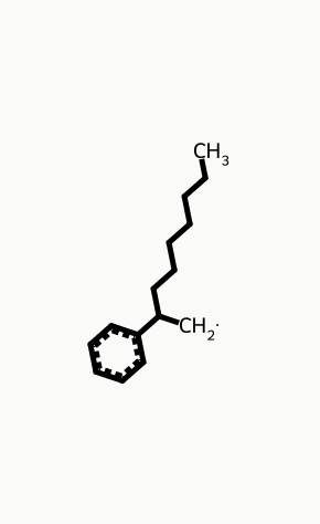 [CH2]C(CCCCCCC)c1ccccc1